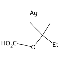 CCC(C)(C)OC(=O)O.[Ag]